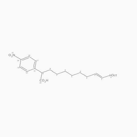 CCCCCCCCC=CCCCCCCC(C(=O)O)c1ccc([N+](=O)[O-])cc1